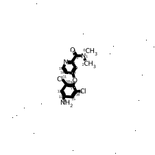 CN(C)C(=O)c1cc(Oc2c(Cl)cc(N)cc2Cl)ccn1